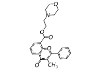 Cc1c(-c2ccccc2)oc2c(C(=O)OCCN3CCOCC3)cccc2c1=O